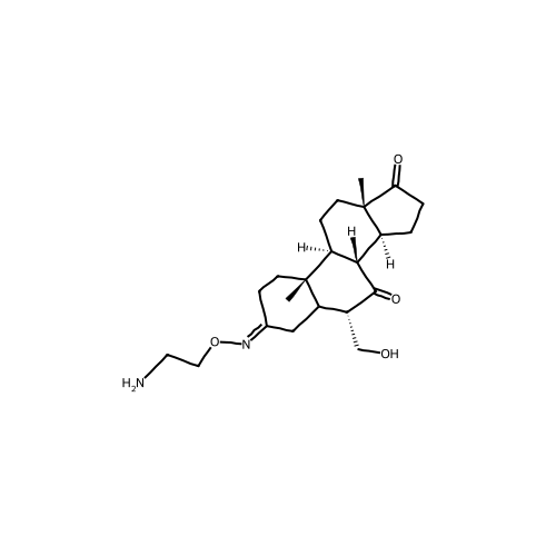 C[C@]12CCC(=NOCCN)CC1[C@@H](CO)C(=O)[C@@H]1[C@@H]2CC[C@]2(C)C(=O)CC[C@@H]12